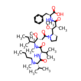 CCCCN(C)[C@H](C(=O)N[C@H](C(=O)N(C)[C@@H]([C@@H](C)CC)[C@@H](CC(=O)N1CCC[C@H]1[C@H](OC)[C@@H](C)C(=O)N[C@@H](Cc1ccccc1)C(=O)O)OC)C(C)C)C(C)C